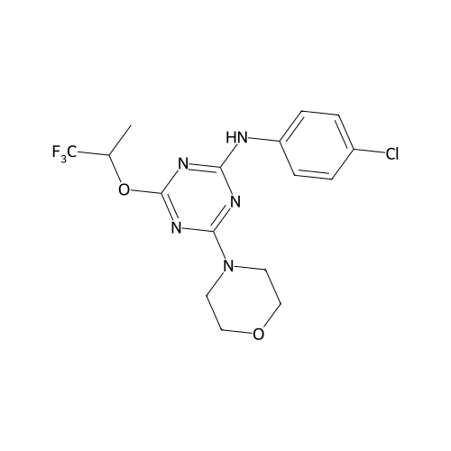 CC(Oc1nc(Nc2ccc(Cl)cc2)nc(N2CCOCC2)n1)C(F)(F)F